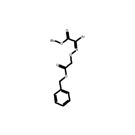 CC(=O)C(=NOCC(=O)OCc1ccccc1)C(=O)OC(C)(C)C